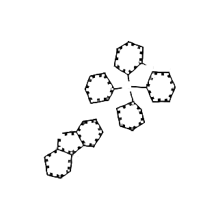 Brc1ccccc1[Si](c1ccccc1)(c1ccccc1)c1ccccc1.c1ccc2c(c1)sc1ccccc12